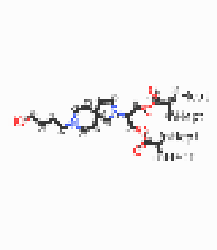 CCCCCCCC(CCCCCCC)C(=O)OCC(COC(=O)C(CCCCCCC)CCCCCCC)N1CCC2(CCN(CCCCO)CC2)C1